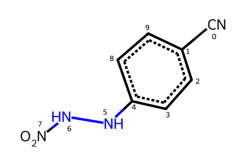 N#Cc1ccc(NN[N+](=O)[O-])cc1